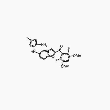 COc1cc(OC)c(F)c(C(=O)c2cc3cc(Nc4nn(C)cc4N)ncc3o2)c1F